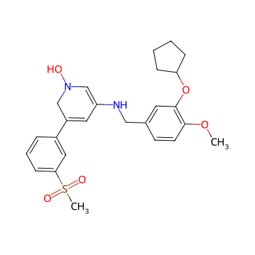 COc1ccc(CNC2=CN(O)CC(c3cccc(S(C)(=O)=O)c3)=C2)cc1OC1CCCC1